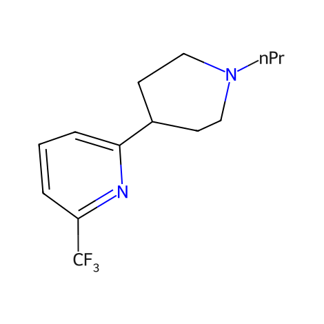 CCCN1CCC(c2cccc(C(F)(F)F)n2)CC1